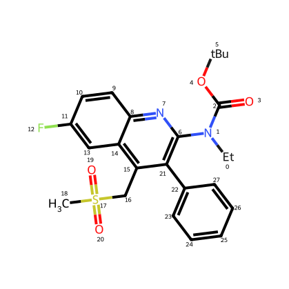 CCN(C(=O)OC(C)(C)C)c1nc2ccc(F)cc2c(CS(C)(=O)=O)c1-c1ccccc1